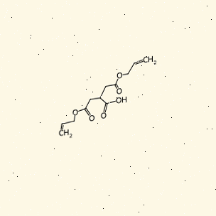 C=CCOC(=O)CC(CC(=O)OCC=C)C(=O)O